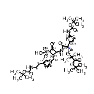 CC(C)(C)OC(=O)NCCc1cn(C[C@@H]2C(NC(=O)/C(=N\OC(C)(C)C(=O)OC(C)(C)C)c3csc(NC(=O)OC(C)(C)C)n3)C(=O)N2S(=O)(=O)O)nn1